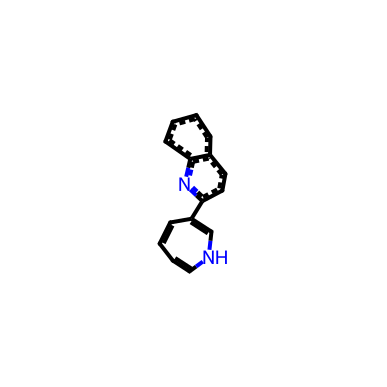 C1=CNC=C(c2ccc3ccccc3n2)C=C1